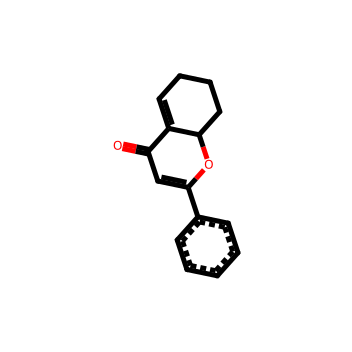 O=C1C=C(c2ccccc2)OC2CCCC=C12